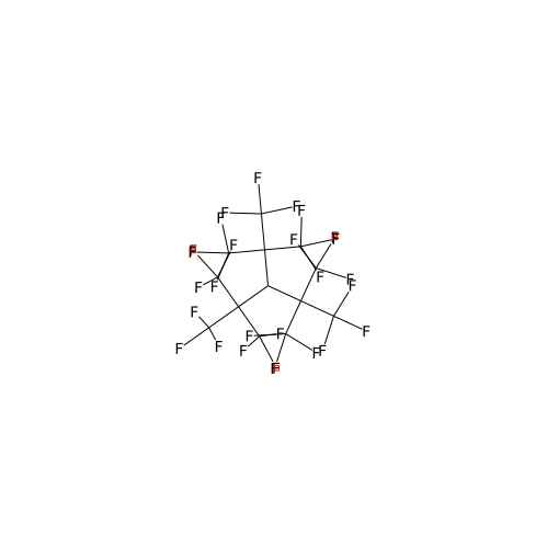 FC(F)(F)C(C(C(C(F)(F)F)(C(F)(F)F)C(F)(F)F)C(C(F)(F)F)(C(F)(F)F)C(F)(F)F)(C(F)(F)F)C(F)(F)F